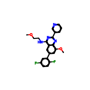 COCCNc1nc(-c2cccnc2)nc2c(OC)cc(-c3cc(F)ccc3F)cc12